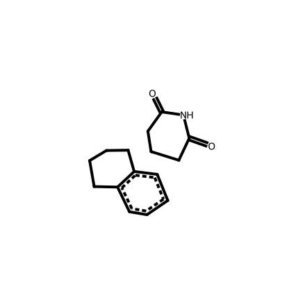 O=C1CCCC(=O)N1.c1ccc2c(c1)CCCC2